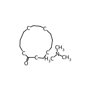 CN(C)C.O=C1CCCCCCCCCCCCCC1